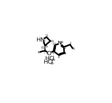 CCc1ccc(OC(C)[C@@H]2CCN2)cn1.Cl.Cl